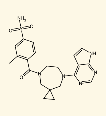 Cc1cc(S(N)(=O)=O)ccc1C(=O)N1CCN(c2ncnc3[nH]ccc23)CC2(CC2)C1